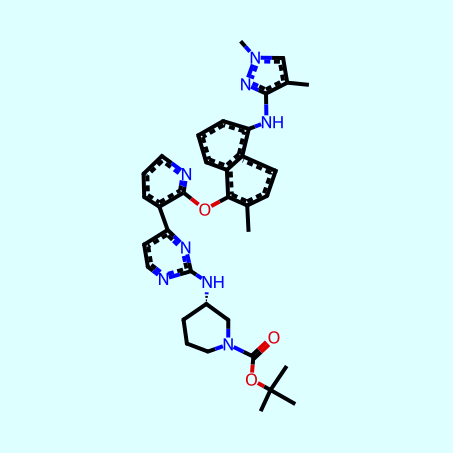 Cc1cn(C)nc1Nc1cccc2c(Oc3ncccc3-c3ccnc(N[C@H]4CCCN(C(=O)OC(C)(C)C)C4)n3)c(C)ccc12